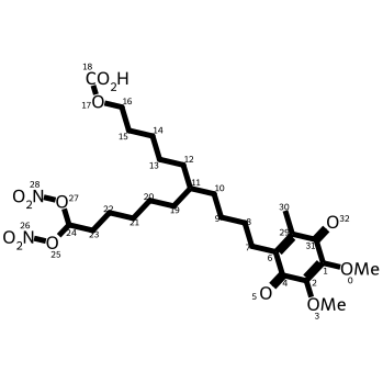 COC1=C(OC)C(=O)C(CCCCC(CCCCCOC(=O)O)CCCCCC(O[N+](=O)[O-])O[N+](=O)[O-])=C(C)C1=O